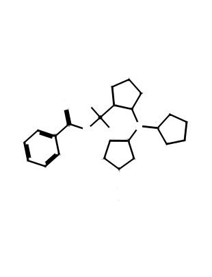 CC(C)(O[C](=[Ru+2])c1ccccc1)C1CCCC1P(C1CCCC1)C1CCCC1.[Cl-].[Cl-]